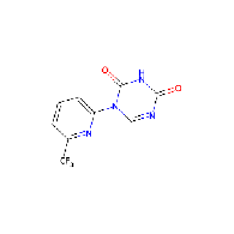 O=c1ncn(-c2cccc(C(F)(F)F)n2)c(=O)[nH]1